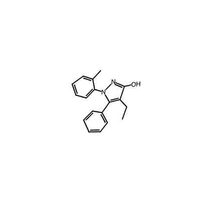 CCc1c(O)nn(-c2ccccc2C)c1-c1ccccc1